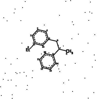 CCc1cccc(CC(C)c2ccccc2)c1